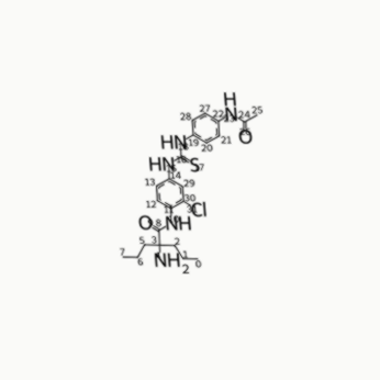 CCCC(N)(CCC)C(=O)Nc1ccc(NC(=S)Nc2ccc(NC(C)=O)cc2)cc1Cl